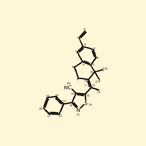 C=Cc1ccc2c(c1)CC/C(=C(/C)c1snc(-c3ccccc3)c1C#N)C2(I)I